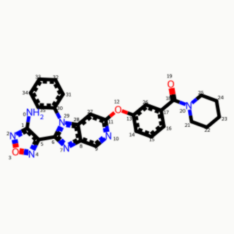 Nc1nonc1-c1nc2cnc(Oc3cccc(C(=O)N4CCCCC4)c3)cc2n1-c1ccccc1